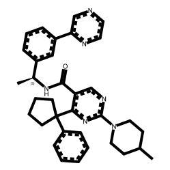 CC1CCN(c2ncc(C(=O)N[C@@H](C)c3cccc(-c4cnccn4)c3)c(C3(c4ccccc4)CCCC3)n2)CC1